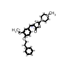 COc1cc(/C=C2/SC(N3CCN(C)CC3)=NC2=O)ccc1OCCc1ccccc1